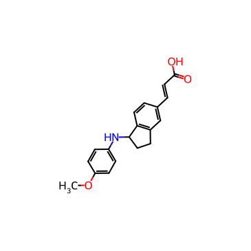 COc1ccc(NC2CCc3cc(/C=C/C(=O)O)ccc32)cc1